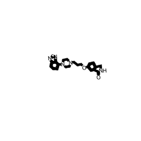 O=C1NCc2ccc(OCCCN3CCN(c4cccc5nsnc45)CC3)cc21